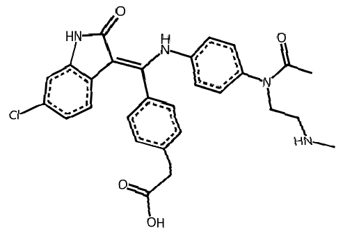 CNCCN(C(C)=O)c1ccc(N/C(=C2\C(=O)Nc3cc(Cl)ccc32)c2ccc(CC(=O)O)cc2)cc1